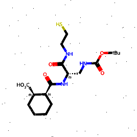 CC(C)(C)OC(=O)NC[C@H](NC(=O)[C@H]1CCCC[C@H]1C(=O)O)C(=O)NCCS